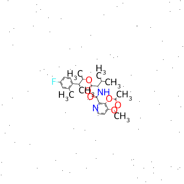 COc1ccnc(C(=O)N[C@H](C(=O)O[C@H](C)[C@@H](C)c2ccc(F)cc2C)C(C)C)c1OC(C)=O